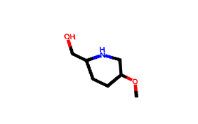 COC1CCC(CO)NC1